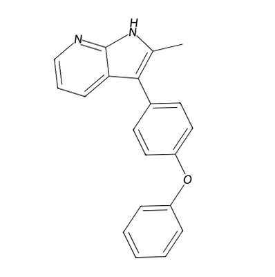 Cc1[nH]c2ncccc2c1-c1ccc(Oc2ccccc2)cc1